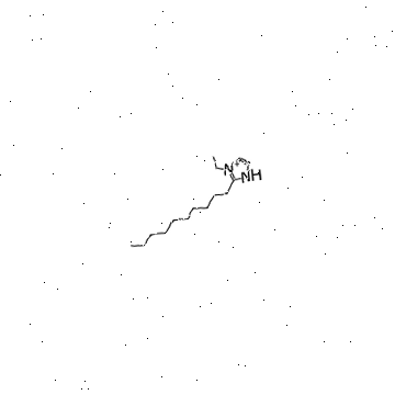 CCCCCCCCCCc1[nH]cc[n+]1CC